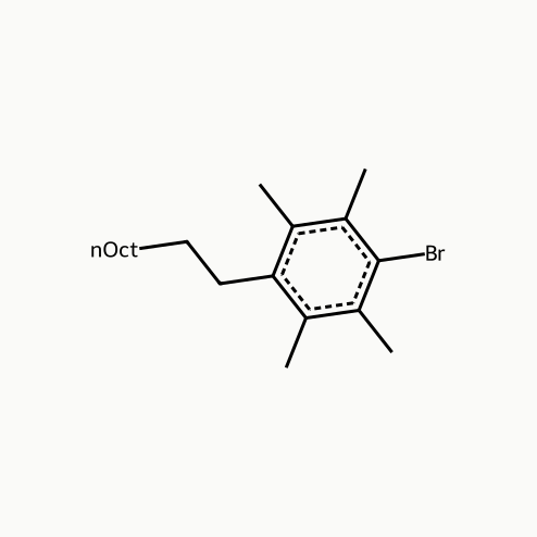 CCCCCCCCCCc1c(C)c(C)c(Br)c(C)c1C